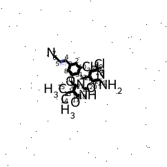 Cc1cc(/C=C/C#N)cc(Oc2c(C(C)C)c(=O)[nH]c(=O)n2Cc2cc(N)nc(Cl)c2)c1